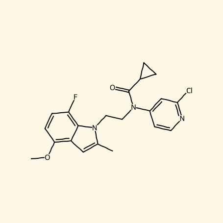 COc1ccc(F)c2c1cc(C)n2CCN(C(=O)C1CC1)c1ccnc(Cl)c1